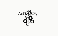 CC(=O)OC1SC(c2cccc(Cl)c2Cl)c2cc(Cl)ccc2-n2c1nnc2C(F)(F)F